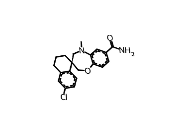 CN1C[C@@]2(CCCc3cc(Cl)ccc32)COc2ccc(C(N)=O)cc21